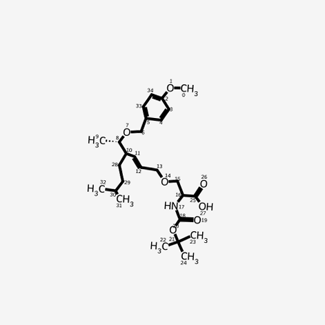 COc1ccc(CO[C@@H](C)C(C=CCOCC(NC(=O)OC(C)(C)C)C(=O)O)CCC(C)C)cc1